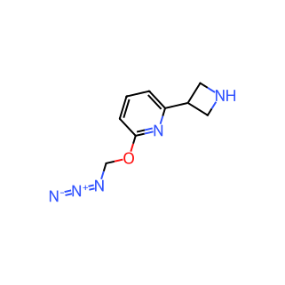 [N-]=[N+]=NCOc1cccc(C2CNC2)n1